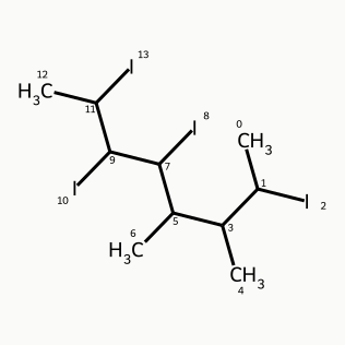 CC(I)C(C)C(C)C(I)C(I)C(C)I